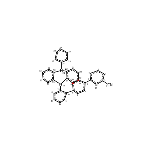 N#Cc1cccc(-c2ccc(-c3ccccc3N3c4ccccc4N(c4ccccc4)c4ccccc43)cc2)n1